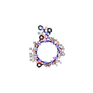 CC[C@H](C)[C@H]1C(=O)N[C@@H](C)C(=O)N(C)[C@@H](CC(C)C)C(=O)N(C)[C@@H](Cc2ccccc2)C(=O)N[C@@H]([C@@H](C)O)C(=O)N(C)[C@@H](C)C(=O)N(C)[C@@H](CC(C)C)C(=O)N(C)[C@@H](Cc2ccccc2)C(=O)N[C@H](C(=O)N(C)[C@@H](Cc2ccccc2)C(=O)N[C@@H](C)C(=O)N2CCCCC2)CC(=O)N(C)CC(=O)N(C)[C@@H](CC(C)C)C(=O)N1C